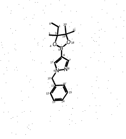 CCC1(C)OB(c2cnn(Cc3ccccc3)c2)OC1(C)C